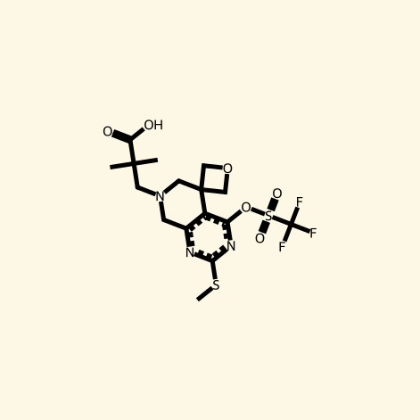 CSc1nc2c(c(OS(=O)(=O)C(F)(F)F)n1)C1(COC1)CN(CC(C)(C)C(=O)O)C2